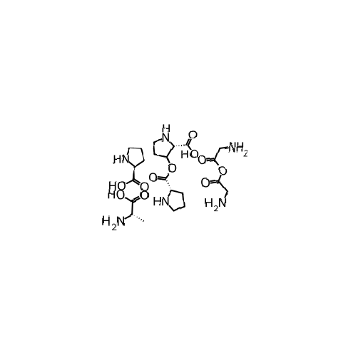 C[C@H](N)C(=O)O.NCC(=O)OC(=O)CN.O=C(O)[C@@H]1CCCN1.O=C(OC1CCN[C@@H]1C(=O)O)[C@@H]1CCCN1